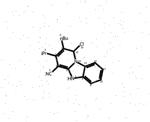 CCCCC1=C(C(C)C)C(C#N)=C2Nc3ccccc3N2C1Cl